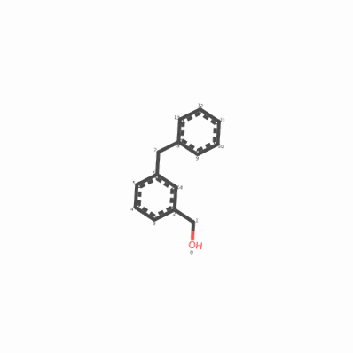 OCc1cccc(Cc2cc[c]cc2)c1